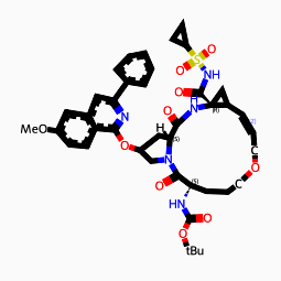 COc1ccc2c(OC3C[C@H]4C(=O)N[C@]5(C(=O)NS(=O)(=O)C6CC6)CC5/C=C\COCCC[C@H](NC(=O)OC(C)(C)C)C(=O)N4C3)nc(-c3ccccc3)cc2c1